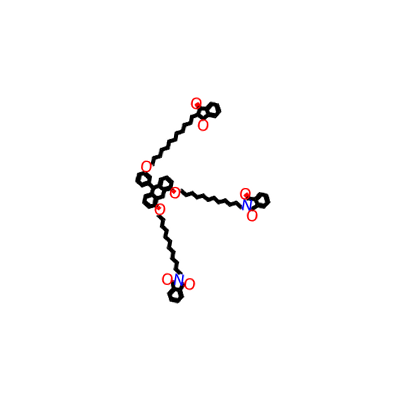 O=C1c2ccccc2C(=O)C1CCCCCCCCCCCCOc1cccc(C2c3cccc(OCCCCCCCCCCCCN4C(=O)c5ccccc5C4=O)c3Cc3c(OCCCCCCCCCCCCN4C(=O)c5ccccc5C4=O)cccc32)c1